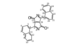 O=c1nc(-c2cccc3ccccc23)c2c(=O)nc(-c3cccc4ccccc34)c1=2